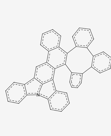 c1ccc2c(c1)-c1ccccc1-c1c(c3c(cc4c5ccccc5n5c6ccccc6c3c45)c3ccccc13)-c1ccccc1-2